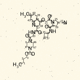 CCCCOC(=O)N1CCN(C(=O)CNC(=O)c2cc(OCC(=O)N3C[C@H](C#N)C[C@H]3C(=O)NC3CCC3)c3ccc(C)cc3n2)CC1